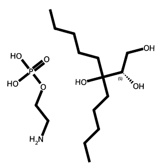 CCCCCC(O)(CCCCC)[C@@H](O)CO.NCCOP(=O)(O)O